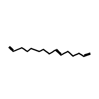 C=CCCCC=CCCCCCCC=C